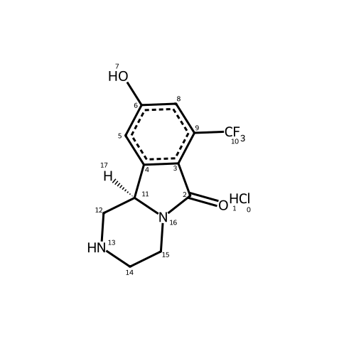 Cl.O=C1c2c(cc(O)cc2C(F)(F)F)[C@@H]2CNCCN12